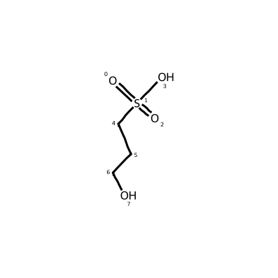 O=S(=O)(O)[CH]C[CH]O